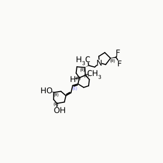 CC(CN1CC[C@@H](C(F)F)C1)[C@H]1CC[C@H]2/C(=C/C=C3C[C@@H](O)C[C@H](O)C3)CCC[C@]12C